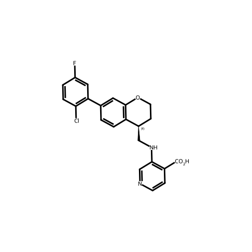 O=C(O)c1ccncc1NC[C@@H]1CCOc2cc(-c3cc(F)ccc3Cl)ccc21